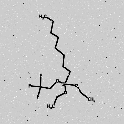 CCCCCCCC[Si](OCC)(OCC)OCC(F)(F)F